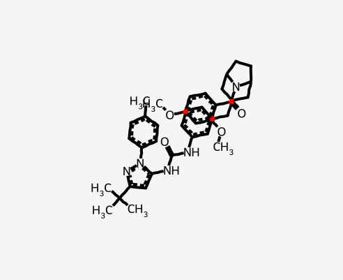 COc1ccc(C(=O)N2C3CCC2CC(Cc2cccc(NC(=O)Nc4cc(C(C)(C)C)nn4-c4ccc(C)cc4)c2)C3)c(OC)c1